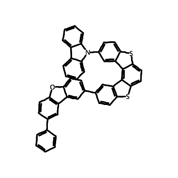 c1ccc(-c2ccc3oc4ccc(-c5ccc6sc7ccc8sc9ccc(-n%10c%11ccccc%11c%11ccccc%11%10)cc9c8c7c6c5)cc4c3c2)cc1